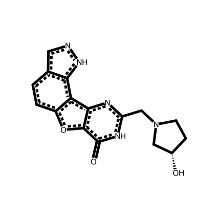 O=c1[nH]c(CN2CC[C@H](O)C2)nc2c1oc1ccc3cn[nH]c3c12